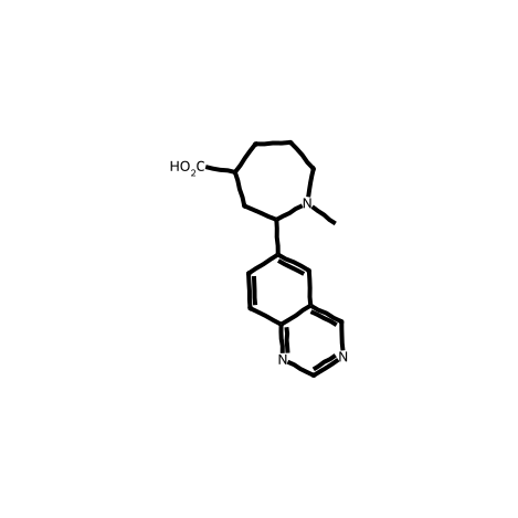 CN1CCCC(C(=O)O)CC1c1ccc2ncncc2c1